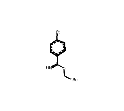 CCc1ccc(C(=N)OCC(C)(C)C)cc1